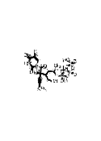 CC#CC1(N)C(CO)[C@@H]([C@@H](C)OP(=O)(O)OP(=O)(O)OP(=O)(O)O)O[C@H]1n1cc(F)c(=O)[nH]c1=O